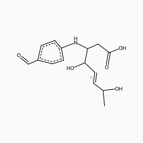 CC(O)/C=C/C(O)C(CC(=O)O)Nc1ccc(C=O)cc1